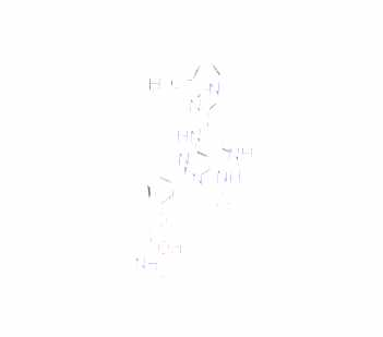 Cc1cccn2cc(CNc3nc(-c4cccc(OCC(O)CN)c4)nc(NC4CC4)c3C=N)nc12